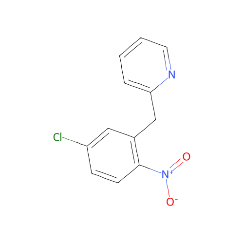 O=[N+]([O-])c1ccc(Cl)cc1Cc1ccccn1